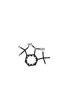 CC(C)(C)c1cccc(C(F)(F)F)c1B(O)O